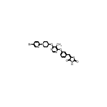 Cc1c(Oc2cccc(C=C3SC(=O)NC3=O)c2)ncnc1OC1CCN(c2ccc(Br)cn2)CC1